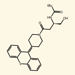 CC(C)(C)C(=O)N[C@@H](CO)CC(=O)N1CCC(=C2c3ccccc3Sc3ccccc32)CC1